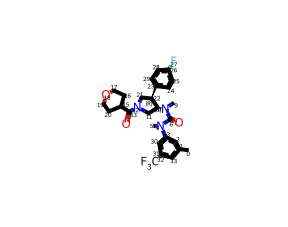 Cc1cc(N(C)C(=O)N(C)[C@@H]2CN(C(=O)C3CCOCC3)C[C@H]2c2ccc(F)cc2)cc(C(F)(F)F)c1